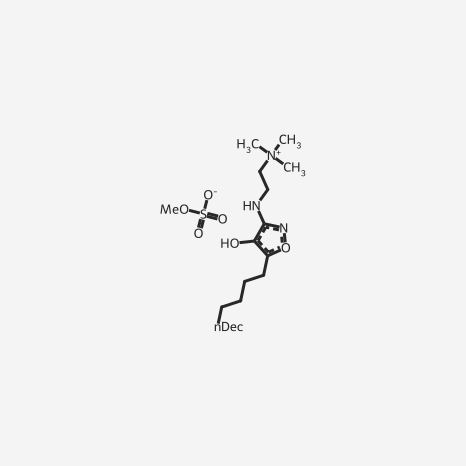 CCCCCCCCCCCCCCc1onc(NCC[N+](C)(C)C)c1O.COS(=O)(=O)[O-]